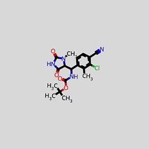 Cc1c(C(NC(=O)OC(C)(C)C)C2C(=O)NC(=O)N2C)ccc(C#N)c1Cl